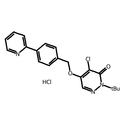 CC(C)(C)n1ncc(OCc2ccc(-c3ccccn3)cc2)c(Cl)c1=O.Cl